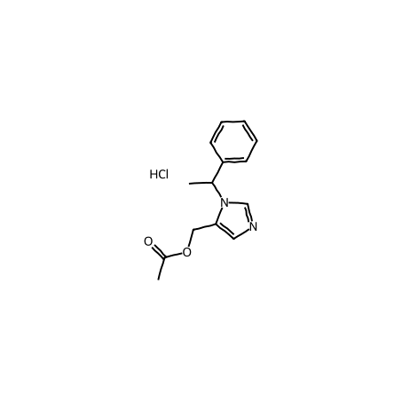 CC(=O)OCc1cncn1C(C)c1ccccc1.Cl